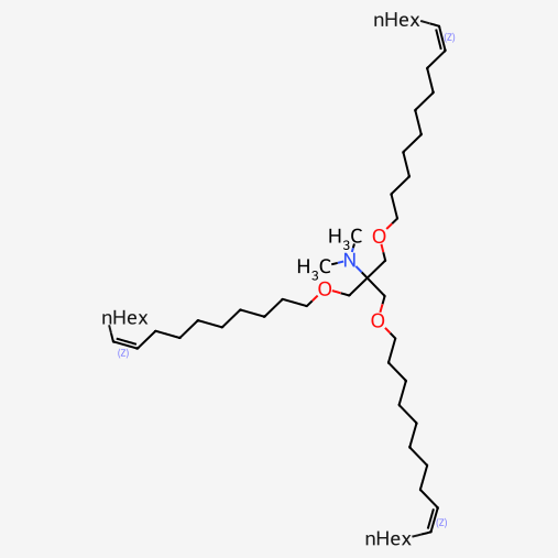 CCCCCC/C=C\CCCCCCCCOCC(COCCCCCCCC/C=C\CCCCCC)(COCCCCCCCC/C=C\CCCCCC)N(C)C